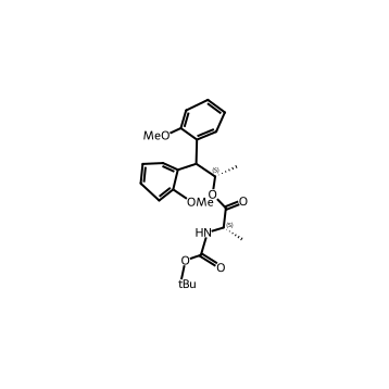 COc1ccccc1C(c1ccccc1OC)[C@H](C)OC(=O)[C@H](C)NC(=O)OC(C)(C)C